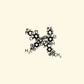 CCS(=O)(=O)c1ccc(C(CC(=O)OC(CCO)(c2ccc(S(=O)(=O)CC)cc2)c2nc3c(Cl)c(N4CCC(F)(F)CC4)c(Cl)cc3[nH]2)c2nc3c(Cl)c(N4CCC(F)(F)CC4)c(Cl)cc3[nH]2)cc1